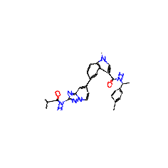 Cc1ccc(C(C)NC(=O)c2cn(C)c3ccc(-c4ccn5nc(NC(=O)C(C)C)nc5c4)cc23)cc1